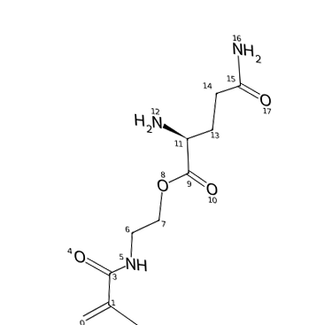 C=C(C)C(=O)NCCOC(=O)[C@@H](N)CCC(N)=O